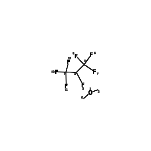 COC.FC(C(F)(F)F)C(F)(F)F